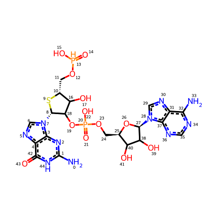 Nc1nc2c(ncn2[C@@H]2S[C@H](CO[PH](=O)O)C(O)C2OP(=O)(O)OC[C@H]2O[C@@H](n3cnc4c(N)ncnc43)C(O)C2O)c(=O)[nH]1